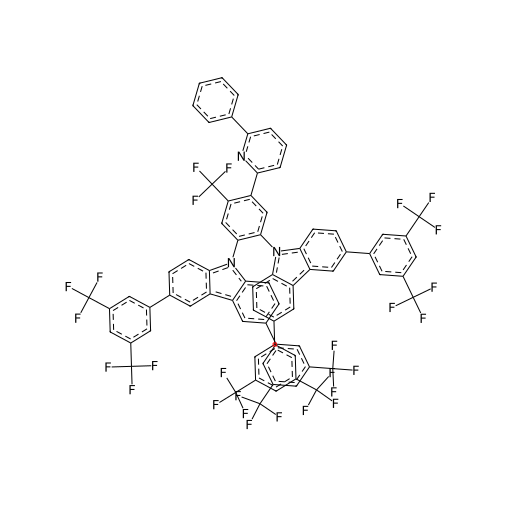 FC(F)(F)c1cc(-c2ccc3c(c2)c2cc(-c4cc(C(F)(F)F)cc(C(F)(F)F)c4)ccc2n3-c2cc(-c3cccc(-c4ccccc4)n3)c(C(F)(F)F)cc2-n2c3ccc(-c4cc(C(F)(F)F)cc(C(F)(F)F)c4)cc3c3cc(-c4cc(C(F)(F)F)cc(C(F)(F)F)c4)ccc32)cc(C(F)(F)F)c1